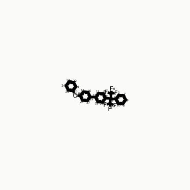 FC(F)(F)C(c1ccccc1)(c1ccc(-c2ccc(Oc3ccccc3)cc2)cc1)C(F)(F)F